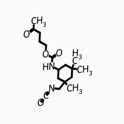 CC(=O)CCCOC(=O)NC1CC(C)(C)CC(C)(CN=C=O)C1